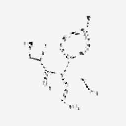 C=C(C1CNC1)N(/C(=C/C)CC)c1ccc(F)cc1